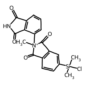 C[N+]1(c2cccc3c2C(=O)NC3=O)C(=O)c2ccc([Si](C)(C)Cl)cc2C1=O